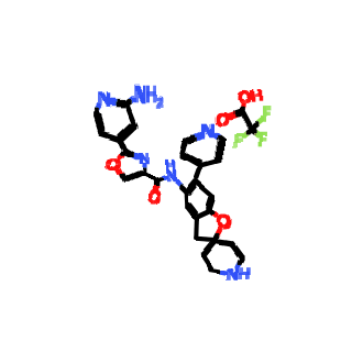 Nc1cc(-c2nc(C(=O)Nc3cc4c(cc3-c3ccncc3)OC3(CCNCC3)C4)co2)ccn1.O=C(O)C(F)(F)F